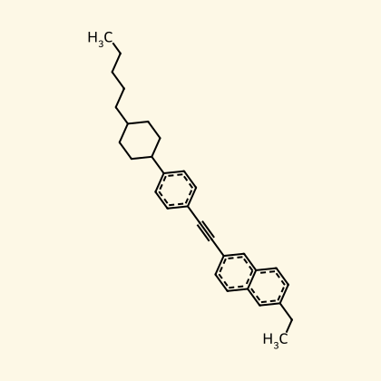 CCCCCC1CCC(c2ccc(C#Cc3ccc4cc(CC)ccc4c3)cc2)CC1